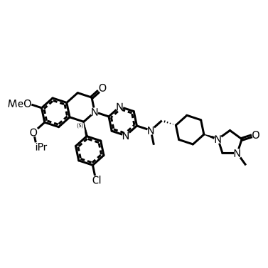 COc1cc2c(cc1OC(C)C)[C@H](c1ccc(Cl)cc1)N(c1cnc(N(C)C[C@H]3CC[C@H](N4CC(=O)N(C)C4)CC3)cn1)C(=O)C2